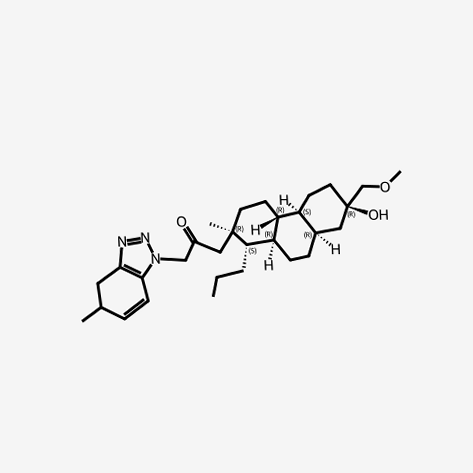 CCC[C@H]1[C@@H]2CC[C@@H]3C[C@@](O)(COC)CC[C@@H]3[C@H]2CC[C@]1(C)CC(=O)Cn1nnc2c1C=CC(C)C2